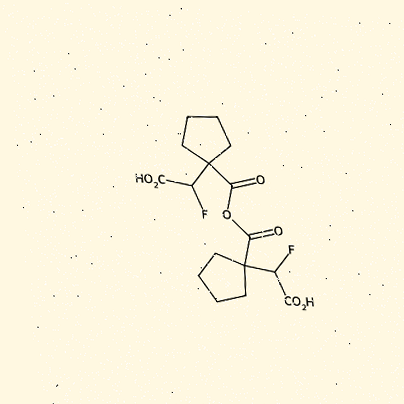 O=C(O)C(F)C1(C(=O)OC(=O)C2(C(F)C(=O)O)CCCC2)CCCC1